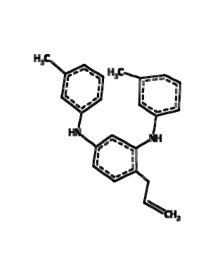 C=CCc1ccc(Nc2cccc(C)c2)cc1Nc1cccc(C)c1